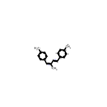 CC(=C/c1ccc(C)cc1)/C=C/c1ccc(C)cc1